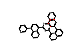 c1ccc(-c2nc(-c3ccc(-c4cccnc4)c4ccccc34)nc(-c3cccc4cccc(-c5ccccc5)c34)n2)cc1